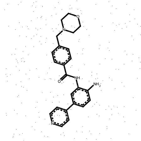 Nc1ccc(-c2ccncc2)cc1NC(=O)c1ccc(CN2CCOCC2)cc1